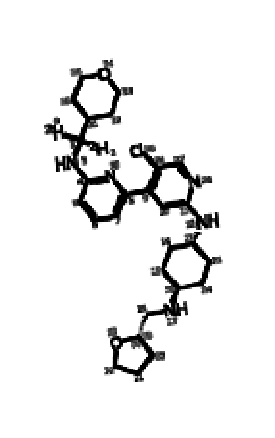 [2H]C([2H])(Nc1cccc(-c2cc(N[C@H]3CC[C@H](NC[C@@H]4CCCO4)CC3)ncc2Cl)n1)C1CCOCC1